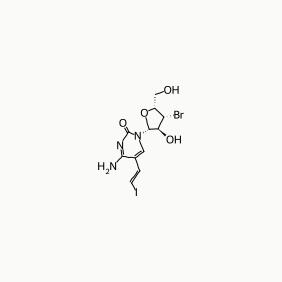 Nc1nc(=O)n([C@@H]2O[C@H](CO)[C@H](Br)[C@H]2O)cc1C=CI